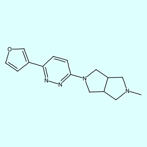 CN1CC2CN(c3ccc(-c4ccoc4)nn3)CC2C1